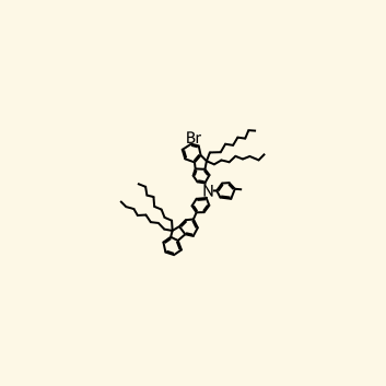 CCCCCCCCC1(CCCCCCCC)c2ccccc2-c2ccc(-c3ccc(N(c4ccc(C)cc4)c4ccc5c(c4)C(CCCCCCCC)(CCCCCCCC)c4cc(Br)ccc4-5)cc3)cc21